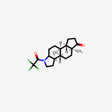 C[C@]12CCN(C(=O)C(F)(F)F)C1CC[C@@H]1[C@@H]2CC[C@]2(C)C(=O)CC[C@@H]12